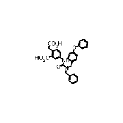 O=C(O)Cc1ccc(NC(=O)N(Cc2ccccc2)Cc2ccc(Oc3ccccc3)cc2)cc1C(=O)O